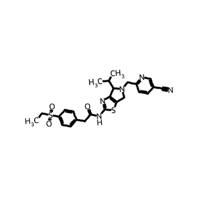 CCS(=O)(=O)c1ccc(CC(=O)Nc2nc3c(s2)CN(Cc2ccc(C#N)cn2)C3C(C)C)cc1